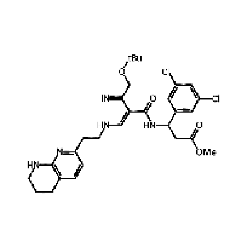 COC(=O)CC(NC(=O)/C(=C/NCCc1ccc2c(n1)NCCC2)C(=N)COC(C)(C)C)c1cc(Cl)cc(Cl)c1